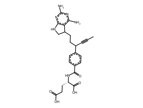 CC#CC(CCC1CNc2nc(N)nc(N)c21)c1ccc(C(=O)N[C@@H](CCC(=O)O)C(=O)O)cc1